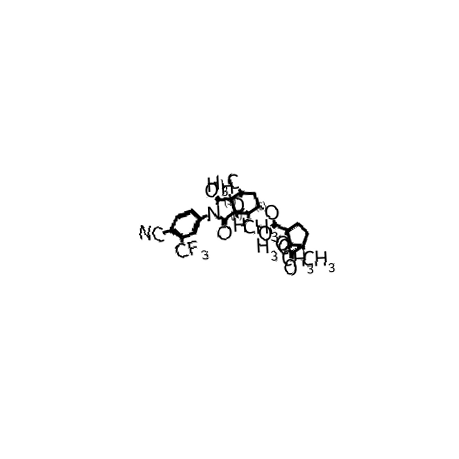 CC12C[C@H](OC(=O)C34CCC(C)(C(=O)O3)C4(C)C)C(C)(O1)[C@@H]1C(=O)N(c3ccc(C#N)c(C(F)(F)F)c3)C(=O)[C@@H]12